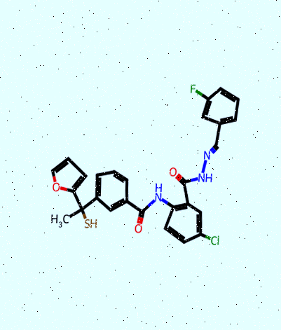 CC(S)(c1cccc(C(=O)Nc2ccc(Cl)cc2C(=O)N/N=C/c2cccc(F)c2)c1)c1ccco1